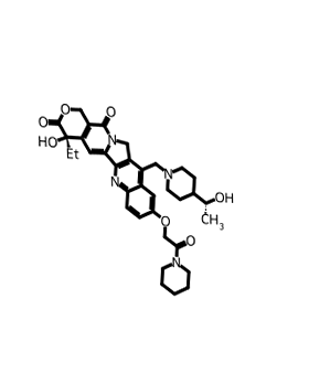 CC[C@@]1(O)C(=O)OCc2c1cc1n(c2=O)Cc2c-1nc1ccc(OCC(=O)N3CCCCC3)cc1c2CN1CCC([C@@H](C)O)CC1